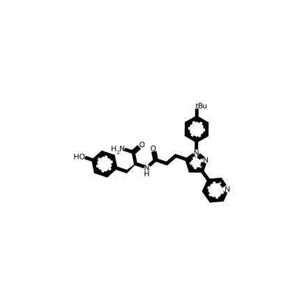 CC(C)(C)c1ccc(-n2nc(-c3cccnc3)cc2CCC(=O)N[C@@H](Cc2ccc(O)cc2)C(N)=O)cc1